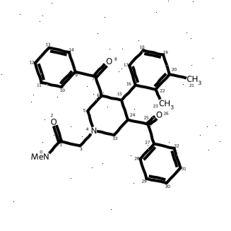 CNC(=O)CN1CC(C(=O)c2ccccc2)C(c2cccc(C)c2C)C(C(=O)c2ccccc2)C1